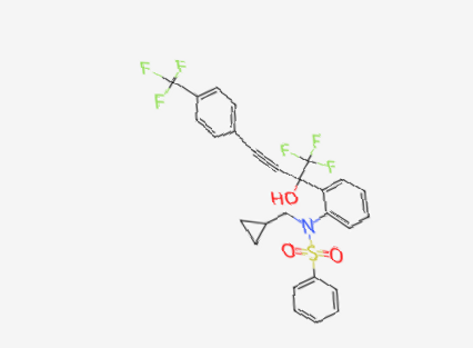 O=S(=O)(c1ccccc1)N(CC1CC1)c1ccccc1C(O)(C#Cc1ccc(C(F)(F)F)cc1)C(F)(F)F